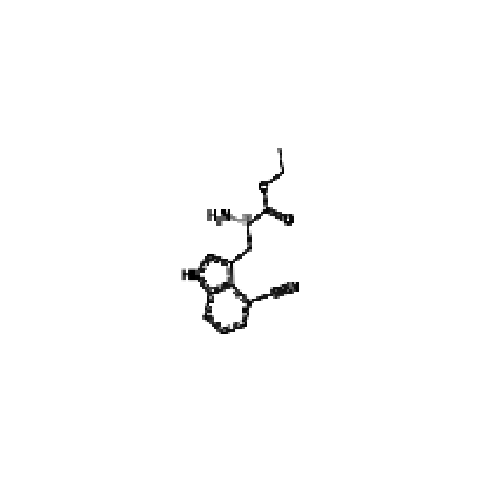 CCOC(=O)[C@@H](N)Cc1c[nH]c2cccc(C#N)c12